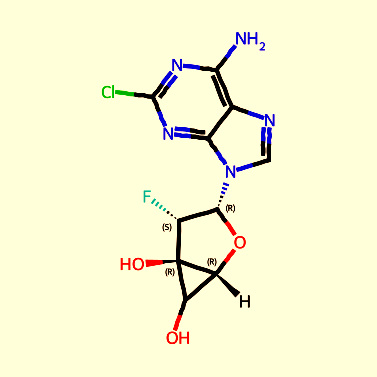 Nc1nc(Cl)nc2c1ncn2[C@@H]1O[C@@H]2C(O)[C@]2(O)[C@@H]1F